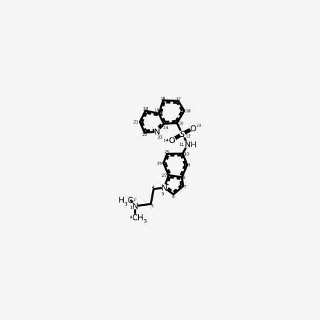 CN(C)CCn1ccc2cc(NS(=O)(=O)c3cccc4cccnc34)ccc21